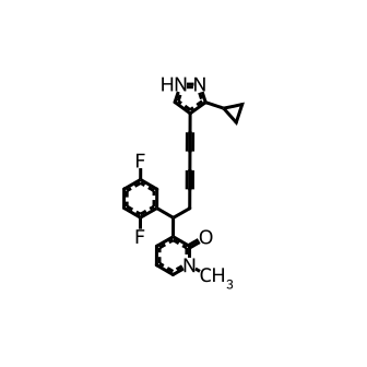 Cn1cccc(C(CC#CC#Cc2c[nH]nc2C2CC2)c2cc(F)ccc2F)c1=O